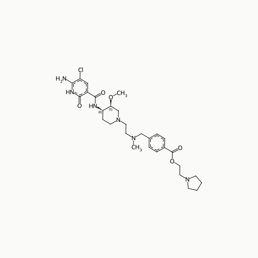 CO[C@H]1CN(CCN(C)Cc2ccc(C(=O)OCCN3CCCC3)cc2)CC[C@H]1NC(=O)c1cc(Cl)c(N)[nH]c1=O